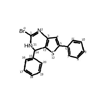 BrC1=Nc2cc(-c3ccccc3)sc2C(c2ccccc2)N1